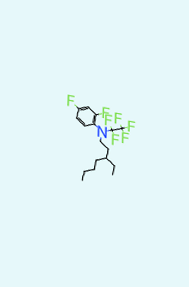 CCCCC(CC)CCN(c1ccc(F)cc1F)C(F)(F)C(F)(F)F